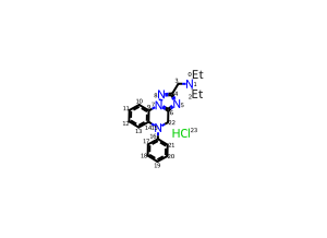 CCN(CC)Cc1nc2n(n1)-c1ccccc1N(c1ccccc1)C2.Cl